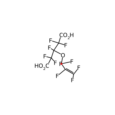 O=C(O)C(F)(F)C(F)(OC(F)(F)C(F)=C(F)F)C(F)(F)C(=O)O